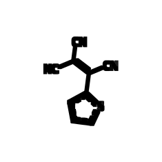 N#CC(C#N)=C(C#N)c1cccs1